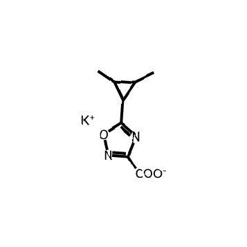 CC1C(C)C1c1nc(C(=O)[O-])no1.[K+]